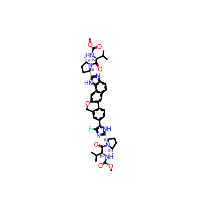 COC(=O)N[C@H](C(=O)N1[C@@H](C)CC[C@H]1c1nc(F)c(-c2ccc3c(c2)COc2cc4c(ccc5nc([C@@H]6CC[C@H](C)N6C(=O)[C@@H](NC(=O)OC)C(C)C)[nH]c54)cc2-3)[nH]1)C(C)C